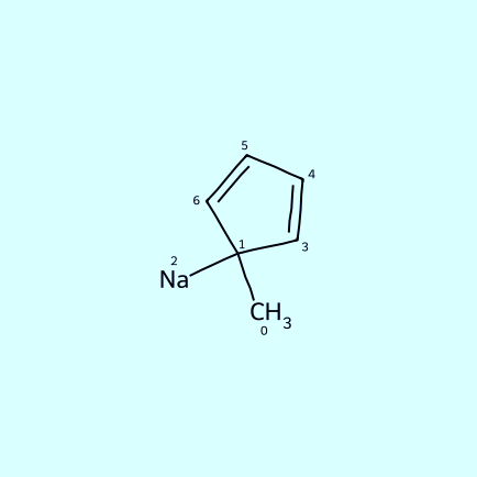 C[C]1([Na])C=CC=C1